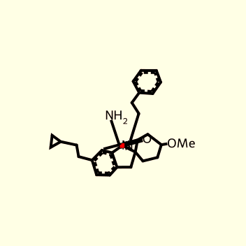 COC1CCC2(CC1)Cc1ccc(CCC3CC3)cc1C21N=C(N)N(CCc2ccccc2)C1=O